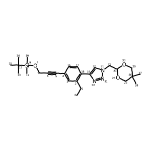 CCc1cc(C#CCO[Si](C)(C)C(C)(C)C)ccc1-c1cn(CC2OCC(C)(C)CO2)nn1